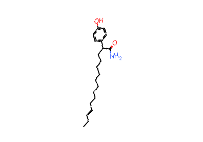 CCC=CCCCCCCCCCC(C(N)=O)c1ccc(O)cc1